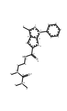 Cc1nn(-c2ccccc2)c2sc(C(=O)NCCN(C)C(=O)N(C)C)cc12